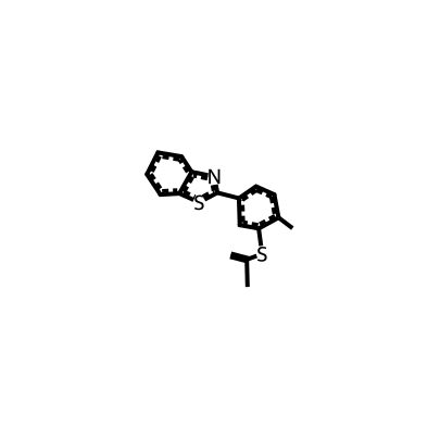 C=C(C)Sc1cc(-c2nc3ccccc3s2)ccc1C